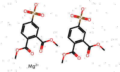 COC(=O)c1ccc(S(=O)(=O)[O-])cc1C(=O)OC.COC(=O)c1ccc(S(=O)(=O)[O-])cc1C(=O)OC.[Mg+2]